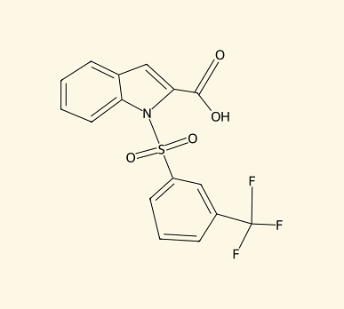 O=C(O)c1cc2ccccc2n1S(=O)(=O)c1cccc(C(F)(F)F)c1